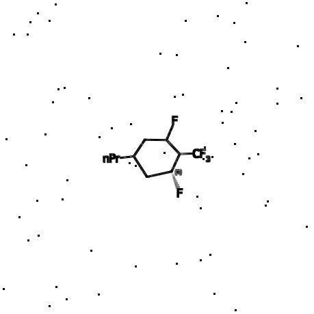 CCCC1CC(F)C(C(F)(F)F)[C@H](F)C1